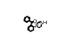 O=C(c1ccccc1)c1ccccc1N1CCNCC1